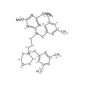 COc1nc(OC)nc(N(CCC[N+]2(Cc3cc(C)cc(C)c3)CCOCC2)Cc2cc(C)cc(C)c2)n1